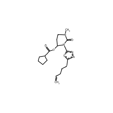 C=CCCCc1nnc(N2C(=O)N(C)CCC2OC(=O)C2CCCC2)s1